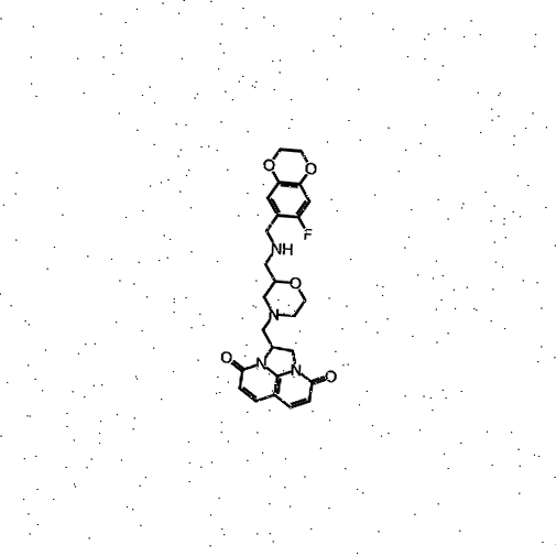 O=c1ccc2ccc(=O)n3c2n1CC3CN1CCOC(CNCc2cc3c(cc2F)OCCO3)C1